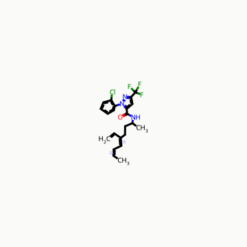 C=C/C(=C\C=C/C)CCC(C)NC(=O)c1cc(C(F)(F)F)nn1-c1ccccc1Cl